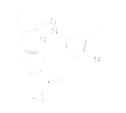 CCC(Oc1ccc(C(=O)C2CC2)cc1)c1cnn(-c2ccc(N)c(F)c2)n1